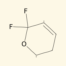 FC1(F)[C]=CC[CH]O1